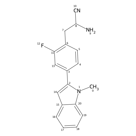 Cn1c(-c2ccc(CC(N)C#N)c(F)c2)cc2ccccc21